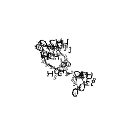 CC[C@@H]1OC(=O)C[C@@](O)(C/C=C/C=C(\C)[C@H]2OC(=O)CC/C=C(\C)[C@@H](C)[C@@H]3OCO[C@@H](/C=C\C=C/[C@@H]2C)[C@H]3C)[C@H]1C